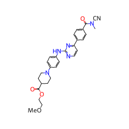 COCCOC(=O)C1CCN(c2ccc(Nc3nccc(-c4ccc(C(=O)N(C)C#N)cc4)n3)cc2)CC1